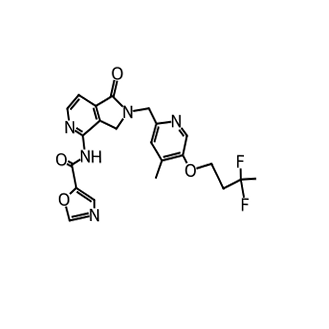 Cc1cc(CN2Cc3c(ccnc3NC(=O)c3cnco3)C2=O)ncc1OCCC(C)(F)F